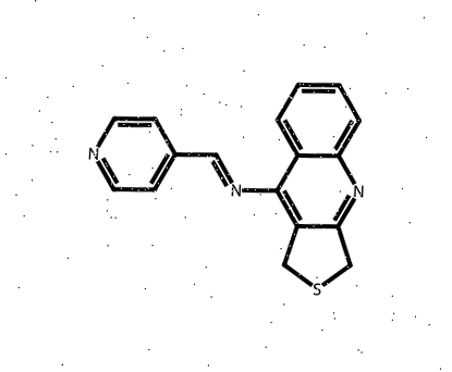 C(=Nc1c2c(nc3ccccc13)CSC2)c1ccncc1